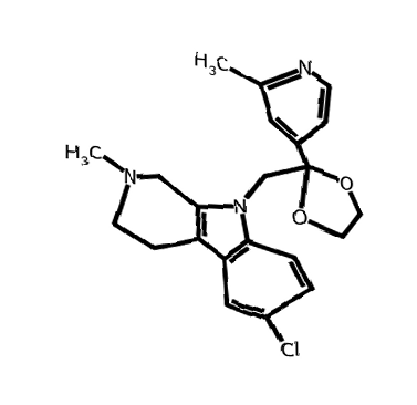 Cc1cc(C2(Cn3c4c(c5cc(Cl)ccc53)CCN(C)C4)OCCO2)ccn1